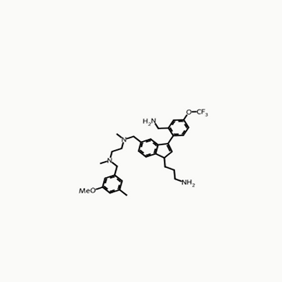 COc1cc(C)cc(CN(C)CCN(C)Cc2ccc3c(c2)C(c2ccc(OC(F)(F)F)cc2CN)=CC3CCCN)c1